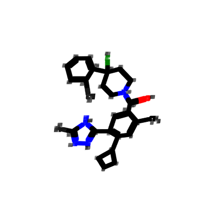 Cc1cc(C2CCC2)c(-c2nnc(C(C)C)[nH]2)cc1C(=O)N1CCC(F)(c2ccccc2C#N)CC1